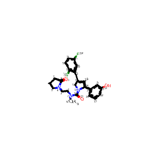 CN(CCN1CCCC1=O)C(=O)N1CC(c2cc(F)ccc2F)=CC1c1cccc(O)c1